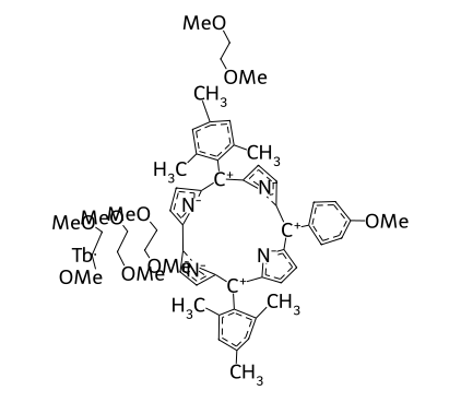 COCCOC.COCCOC.COCCOC.COCCOC.COc1ccc([C+]2c3ccc([n-]3)[C+](c3c(C)cc(C)cc3C)c3ccc([n-]3)-c3ccc([n-]3)[C+](c3c(C)cc(C)cc3C)c3ccc2[n-]3)cc1.[Tb]